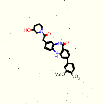 COc1cc(-c2ccc3c(c2)Nc2ccc(CC(=O)N4CCCC(O)C4)cc2NC3=O)ccc1[N+](=O)[O-]